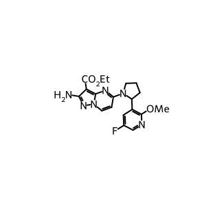 CCOC(=O)c1c(N)nn2ccc(N3CCCC3c3cc(F)cnc3OC)nc12